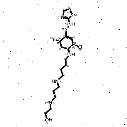 OCCNCCCNCCCCNC1C[C@@H](F)C(SNC2=NCNS2)=C[C@H]1Cl